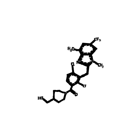 Cc1cc(C(F)(F)F)cc2c1nc(Cc1c(Cl)ccc(C(=O)N3CCC(CO)CC3)c1Cl)n2C